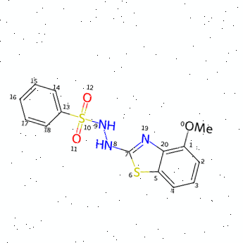 COc1cccc2sc(NNS(=O)(=O)c3ccccc3)nc12